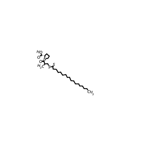 CCCCCCCCCCCCCCCCCC(=S)SCC(C)C(=O)N1CCC[C@H]1C(=O)O